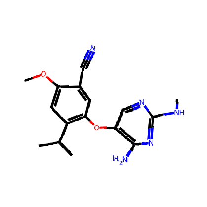 CNc1ncc(Oc2cc(C#N)c(OC)cc2C(C)C)c(N)n1